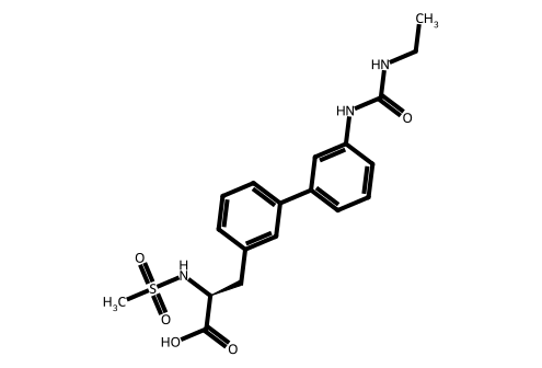 CCNC(=O)Nc1cccc(-c2cccc(C[C@H](NS(C)(=O)=O)C(=O)O)c2)c1